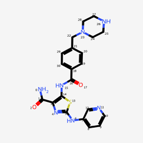 NC(=O)c1nc(Nc2cccnc2)sc1NC(=O)c1ccc(CN2CCNCC2)cc1